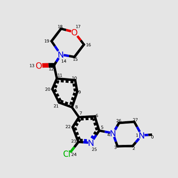 CN1CCN(c2cc(-c3ccc(C(=O)N4CCOCC4)cc3)cc(Cl)n2)CC1